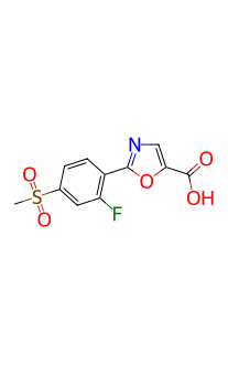 CS(=O)(=O)c1ccc(-c2ncc(C(=O)O)o2)c(F)c1